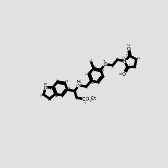 CCOC(=O)CC(NCc1ccc(OCCN2C(=O)CCC2=O)c(C)c1)c1ccc2c(c1)CCO2